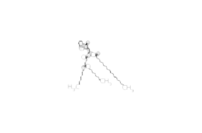 CCCCCC=CCC=CCCCCCCCC(=O)OC[C@@H](COC(=O)CCC(OCCCCCCCC)OCCCCCCCC)COC(=O)C1CCCN1C